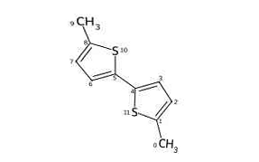 Cc1ccc(-c2ccc(C)s2)s1